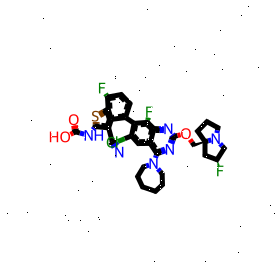 N#Cc1c(NC(=O)O)sc2c(F)ccc(-c3c(Cl)cc4c(N5CCCCCC5)nc(OC[C@@]56CCCN5C[C@H](F)C6)nc4c3F)c12